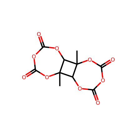 CC12OC(=O)OC(=O)OC1C1(C)OC(=O)OC(=O)OC21